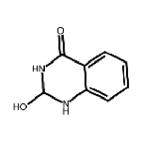 O=C1NC(O)Nc2ccccc21